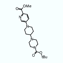 COC(=O)c1ccc(N2CCC(N3CCN(C(=O)OC(C)(C)C)CC3)CC2)cn1